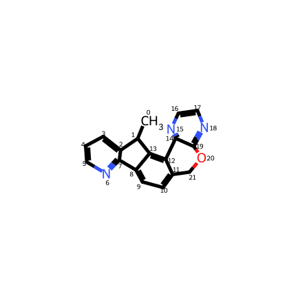 CC1c2cccnc2-c2ccc3c(c21)-c1nccnc1OC3